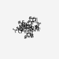 N=C(NSC1CC1)c1c(Cl)ccc(-n2c(C(Cc3cc(F)cc(F)c3)NC(=O)Cc3ccn(C4CC4)n3)nc3cc(-c4ccccc4F)ccc3c2=O)c1NCC(F)F